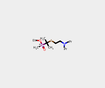 CCO[P@@](C)(=O)C(C)(C)SCCN(C(C)C)C(C)C